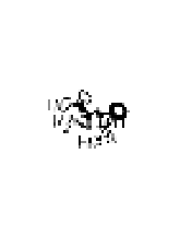 NC(C=C(CP(=O)(O)O)c1ccccc1)C(=O)O